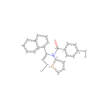 CCC=C(c1cccc2ccccc12)N(C(=O)c1ccc(CC)cc1)c1cccs1